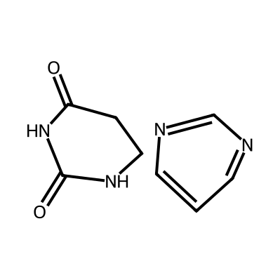 O=C1CCNC(=O)N1.c1cncnc1